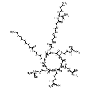 CCCCCCCCCC(=O)NCCCC[C@@H]1NC(=O)[C@H](CCC(=O)NCCOCCOCC(=O)NC(CCCCN)C(N)=O)NC(=O)[C@@H](CCCNC(=N)N)NC(=O)[C@H](CCCNC(=N)N)NC(=O)[C@@H](CCCNC(=N)N)NC(=O)[C@H](CCCNC(=N)N)NC1=O